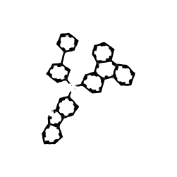 c1ccc(-c2cccc(N(c3ccc4c(c3)oc3ccccc34)c3ccc4c5ccccc5c5ccccc5c4c3)c2)cc1